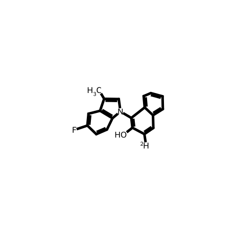 [2H]c1cc2ccccc2c(-n2cc(C)c3cc(F)ccc32)c1O